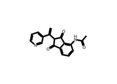 C=C(c1cccnc1)C1C(=O)c2cccc(NC(C)=O)c2C1=O